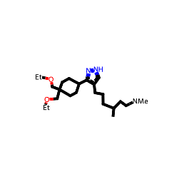 CCOCC1(COCC)CCC(c2n[nH]cc2CCCC(C)CCNC)CC1